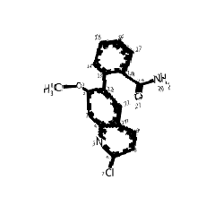 COc1cc2nc(Cl)ccc2cc1-c1ccccc1C(N)=O